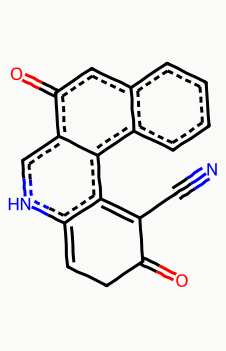 N#CC1=c2c3c4ccccc4cc(=O)c-3c[nH]c2=CCC1=O